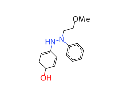 COCCN(NC1=CCC(O)C=C1)c1ccccc1